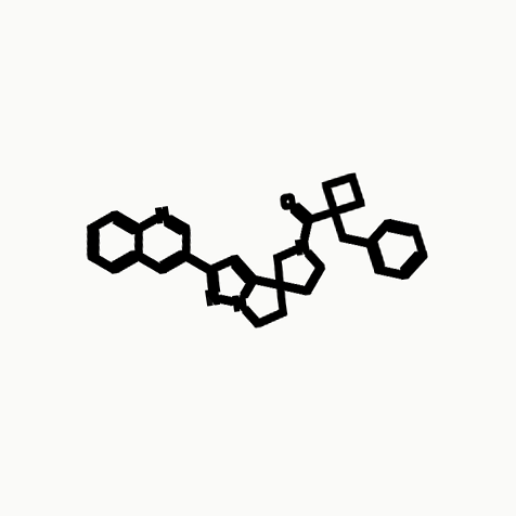 O=C(N1CCC2(CCn3nc(-c4cnc5ccccc5c4)cc32)C1)C1(Cc2ccccc2)CCC1